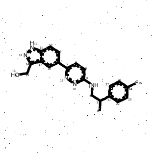 CC(CNc1ccc(-c2ccc3[nH]nc(CO)c3c2)nn1)c1ccc(F)cc1